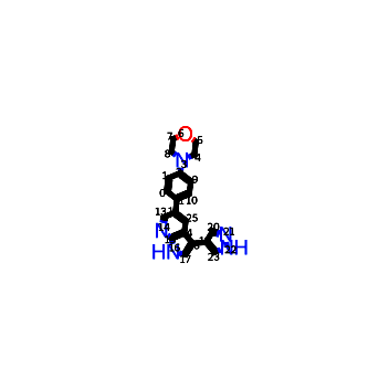 c1cc(N2CCOCC2)ccc1-c1cnc2[nH]cc(-c3cn[nH]c3)c2c1